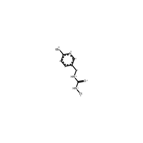 CCNC(=O)NCc1ccc(C(C)(C)C)nc1